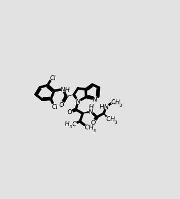 CN[C@@H](C)C(=O)N[C@H](C(=O)N1c2ncccc2C[C@H]1C(=O)Nc1c(Cl)cccc1Cl)C(C)C